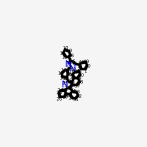 c1ccc(-c2cc(-c3ccccc3)nc(-c3cccc(-c4nc5c6ccccc6c6ccccc6c5c5ccc6ccccc6c45)c3)n2)cc1